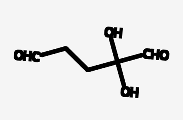 O=CCCC(O)(O)C=O